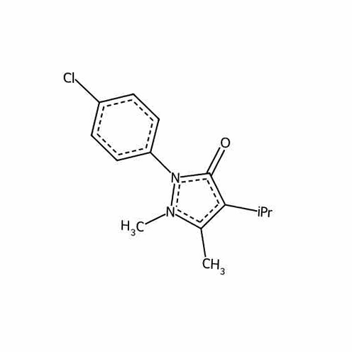 Cc1c(C(C)C)c(=O)n(-c2ccc(Cl)cc2)n1C